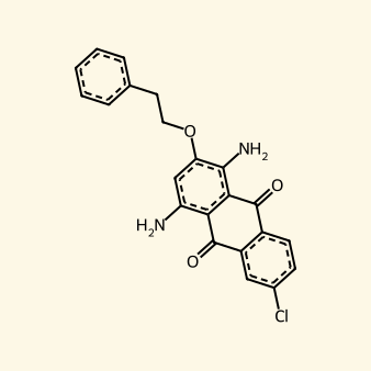 Nc1cc(OCCc2ccccc2)c(N)c2c1C(=O)c1cc(Cl)ccc1C2=O